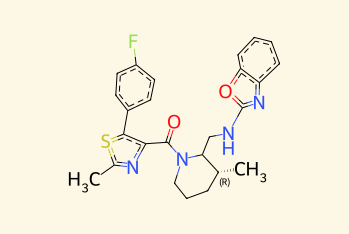 Cc1nc(C(=O)N2CCC[C@@H](C)C2CNc2nc3ccccc3o2)c(-c2ccc(F)cc2)s1